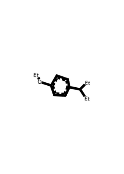 CCOc1ccc(C(CC)CC)cc1